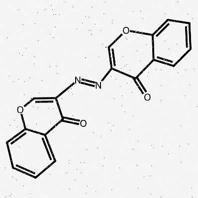 O=c1c(N=Nc2[c]oc3ccccc3c2=O)[c]oc2ccccc12